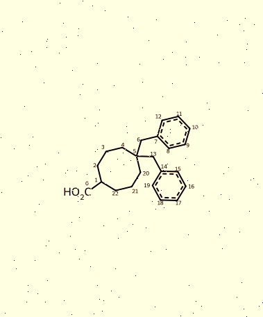 O=C(O)C1CCCC(Cc2ccccc2)(Cc2ccccc2)CCC1